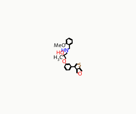 COc1ccccc1CNC[C@@](C)(O)COc1cccc(-c2csc3cocc23)c1